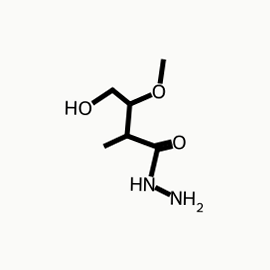 COC(CO)C(C)C(=O)NN